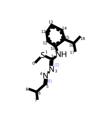 CS/C(=N\N=C\C(C)C)Nc1ccccc1C(C)C